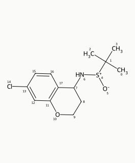 CC(C)(C)[S+]([O-])NC1CCOc2cc(Cl)ccc21